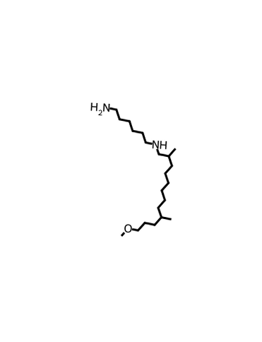 COCCCC(C)CCCCCCC(C)CNCCCCCCN